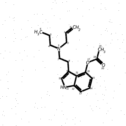 C=CCN(CCC)CCc1c[nH]c2cccc(OC(C)=O)c12